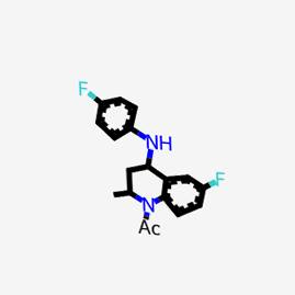 CC(=O)N1c2ccc(F)cc2C(Nc2ccc(F)cc2)CC1C